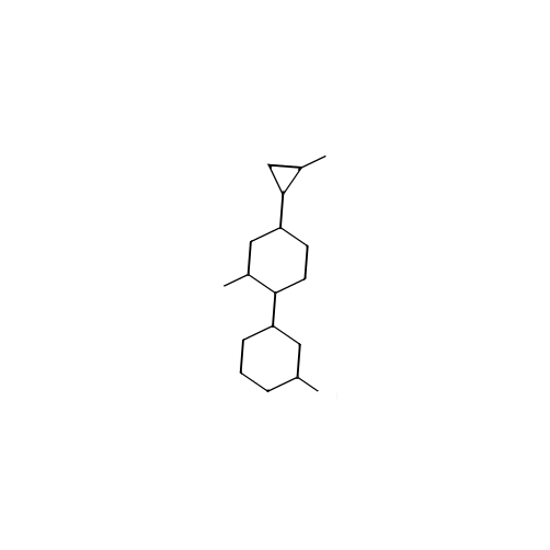 OC1CCCC(C2CCC(C3CC3S)CC2S)C1